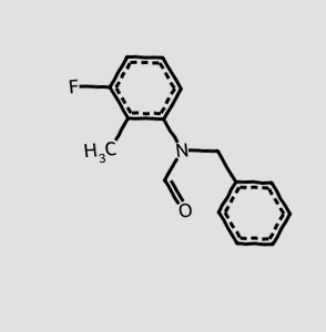 Cc1c(F)cccc1N(C=O)Cc1ccccc1